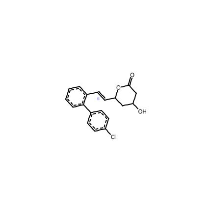 O=C1CC(O)CC(/C=C/c2ccccc2-c2ccc(Cl)cc2)O1